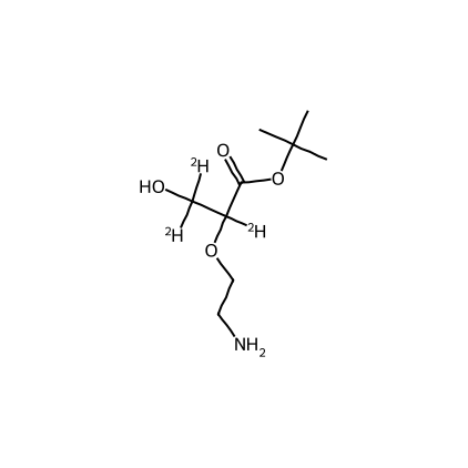 [2H]C([2H])(O)C([2H])(OCCN)C(=O)OC(C)(C)C